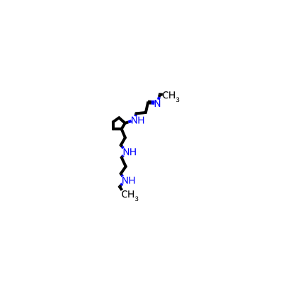 CC/N=C/CCNC1CCCC1CCNCCCNCC